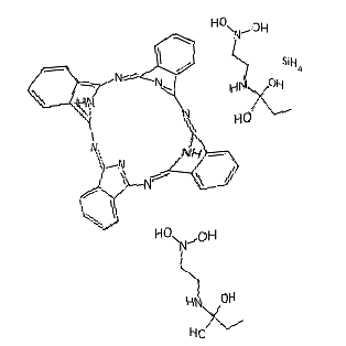 CCC(O)(O)NCCN(O)O.CCC(O)(O)NCCN(O)O.[SiH4].c1ccc2c(c1)-c1nc-2nc2[nH]c(nc3nc(nc4[nH]c(n1)c1ccccc41)-c1ccccc1-3)c1ccccc21